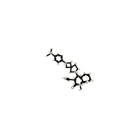 CN(C)c1ccc(N2CC3(CCN(c4c(C#N)c(=O)n(C)c5ccccc45)C3)C2)cc1